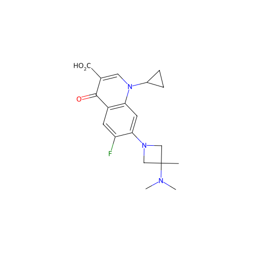 CN(C)C1(C)CN(c2cc3c(cc2F)c(=O)c(C(=O)O)cn3C2CC2)C1